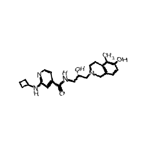 Cc1c(O)ccc2c1CCN(C[C@@H](O)CNC(=O)c1ccnc(NC3CCC3)c1)C2